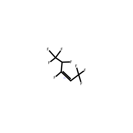 F/C(=C/C(F)(F)F)C(F)C(F)(F)F